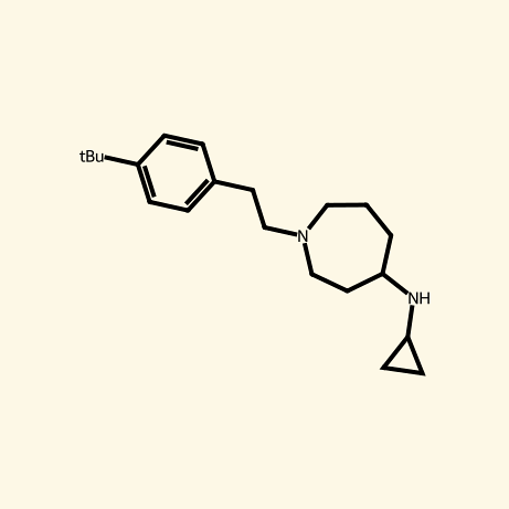 CC(C)(C)c1ccc(CCN2CCCC(NC3CC3)CC2)cc1